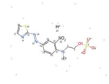 CCN(CCOS(=O)(=O)[O-])c1ccc(N=Nc2nccs2)cc1[N+](=O)[O-].[H+]